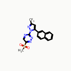 CS(=O)(=O)c1cnc(-n2nc(C(F)(F)F)cc2-c2ccc3ccccc3c2)nn1